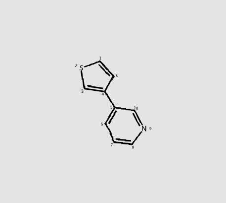 [c]1cscc1-c1cccnc1